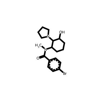 CN(C(=O)c1ccc(Br)cc1)C1CCCC(O)C1N1CCCC1